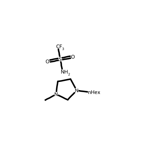 CCCCCCN1CCN(C)C1.NS(=O)(=O)C(F)(F)F